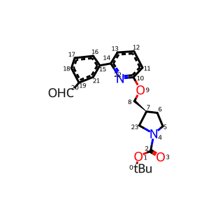 CC(C)(C)OC(=O)N1CC[C@H](COc2cccc(-c3cccc(C=O)c3)n2)C1